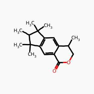 CC1COC(=O)c2cc3c(cc21)C(C)(C)C(C)C3(C)C